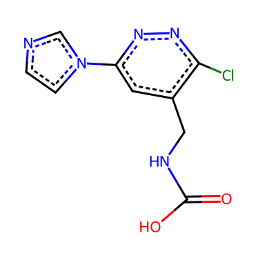 O=C(O)NCc1cc(-n2ccnc2)nnc1Cl